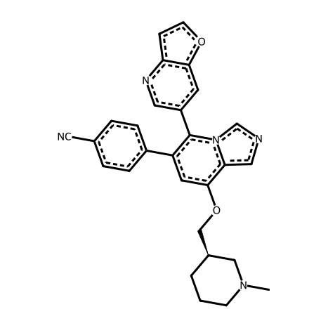 CN1CCC[C@@H](COc2cc(-c3ccc(C#N)cc3)c(-c3cnc4ccoc4c3)n3cncc23)C1